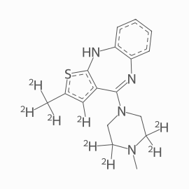 [2H]c1c(C([2H])([2H])[2H])sc2c1C(N1CC([2H])([2H])N(C)C([2H])([2H])C1)=Nc1ccccc1N2